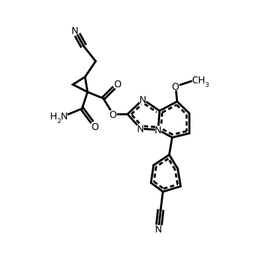 COc1ccc(-c2ccc(C#N)cc2)n2nc(OC(=O)C3(C(N)=O)CC3CC#N)nc12